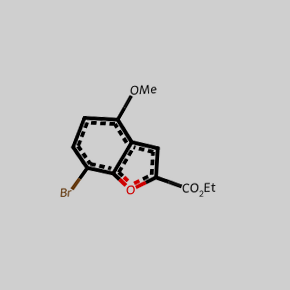 CCOC(=O)c1cc2c(OC)ccc(Br)c2o1